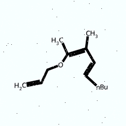 C=CCOC(C)=C(C)C=CCCCC